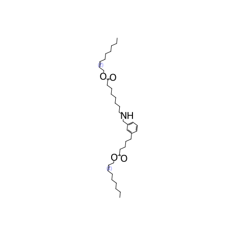 CCCCCC/C=C\COC(=O)CCCCCCCNCc1cccc(CCCCC(=O)OC/C=C\CCCCCC)c1